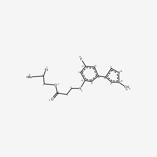 CCCCC(CC)COC(=O)CCSc1cc(F)cc(-c2cnn(C)c2)c1